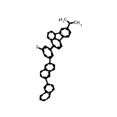 CC(C)c1ccc2c(c1)-c1cccc3c(-c4cc(F)cc(-c5ccc6cc(-c7ccc8ccccc8c7)ccc6c5)c4)ccc-2c13